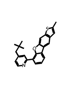 Cc1cc2cc3c(cc2s1)oc1c(-c2cc(CC(C)(C)C)ccn2)cccc13